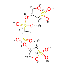 CC1C(OS(=O)(=O)C(C)(C)S(=O)(=O)OC2COS(=O)(=O)C2C)COS1(=O)=O